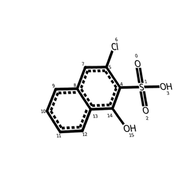 O=S(=O)(O)c1c(Cl)cc2ccccc2c1O